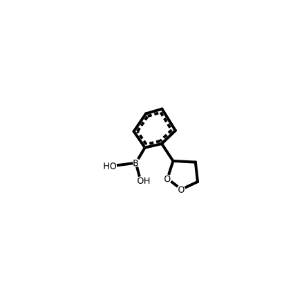 OB(O)c1ccccc1C1CCOO1